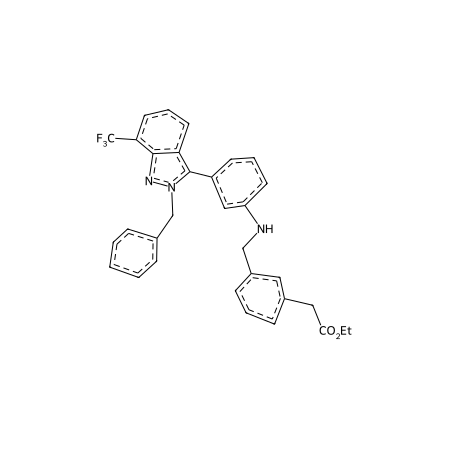 CCOC(=O)Cc1cccc(CNc2cccc(-c3c4cccc(C(F)(F)F)c4nn3Cc3ccccc3)c2)c1